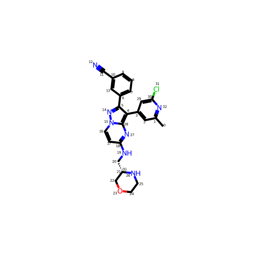 Cc1cc(-c2c(-c3cccc(C#N)c3)nn3ccc(NC[C@H]4COCCN4)nc23)cc(Cl)n1